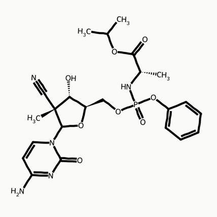 CC(C)OC(=O)[C@H](C)NP(=O)(OC[C@H]1OC(n2ccc(N)nc2=O)[C@](C)(C#N)[C@@H]1O)Oc1ccccc1